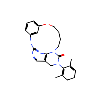 CC1=CCCC(C)=C1N1Cc2cnc3nc2N(CCCCOc2cccc(c2)N3)C1=O